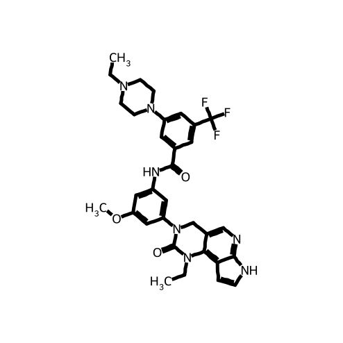 CCN1CCN(c2cc(C(=O)Nc3cc(OC)cc(N4Cc5cnc6[nH]ccc6c5N(CC)C4=O)c3)cc(C(F)(F)F)c2)CC1